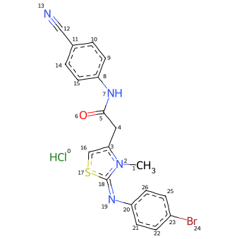 Cl.Cn1c(CC(=O)Nc2ccc(C#N)cc2)cs/c1=N/c1ccc(Br)cc1